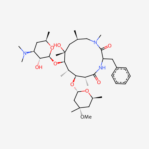 CO[C@]1(C)C[C@H](O[C@H]2[C@H](C)[C@@H](O[C@@H]3O[C@H](C)C[C@H](N(C)C)[C@H]3O)[C@](C)(O)C[C@@H](C)CN(C)C(=O)C(Cc3ccccc3)NC(=O)[C@@H]2C)O[C@@H](C)C1